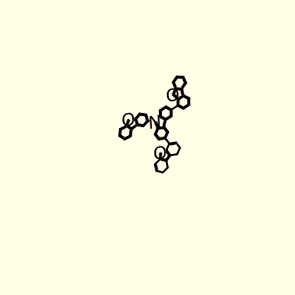 C1=Cc2oc3c(c2CC1)CCC=C3c1ccc2c(c1)c1cc(-c3cccc4c3oc3ccccc34)ccc1n2-c1ccc2oc3ccccc3c2c1